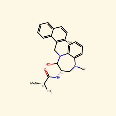 CN[C@@H](C)C(=O)N[C@H]1CN(C(C)=O)c2ccccc2N(Cc2c(C)ccc3ccccc23)C1O